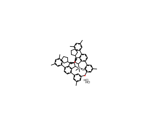 Cc1cc(C)cc(-c2ccc(-c3cc(C)cc(C)c3)c3c2C=C(CC2CCCC2)[CH]3[Zr]([CH3])([CH3])(=[SiH2])[CH]2C(CC3CCCC3)=Cc3c(-c4cc(C)cc(C)c4)ccc(-c4cc(C)cc(C)c4)c32)c1.Cl.Cl